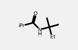 CCC(C)(C)NC(=O)C(C)C